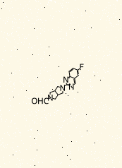 O=CN1CC2CN(c3ncc4cc(F)ccc4n3)CC2C1